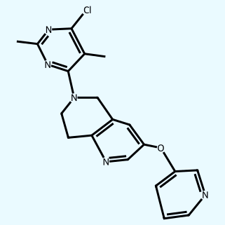 Cc1nc(Cl)c(C)c(N2CCc3ncc(Oc4cccnc4)cc3C2)n1